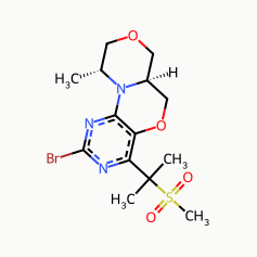 C[C@@H]1COC[C@H]2COc3c(nc(Br)nc3C(C)(C)S(C)(=O)=O)N21